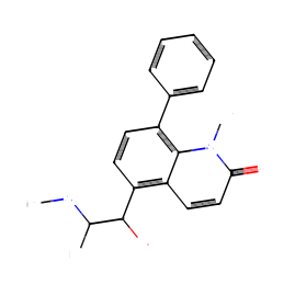 CCC(NC(C)C)C(O)c1ccc(-c2ccccc2)c2c1ccc(=O)n2OC(C)=O